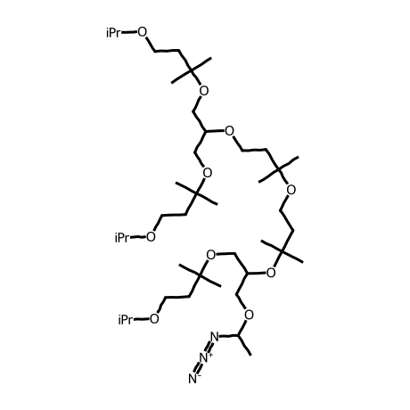 CC(C)OCCC(C)(C)OCC(COC(C)(C)CCOC(C)C)OCCC(C)(C)OCCC(C)(C)OC(COC(C)N=[N+]=[N-])COC(C)(C)CCOC(C)C